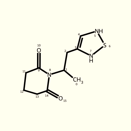 CC(CC1=CNSN1)N1C(=O)CCCC1=O